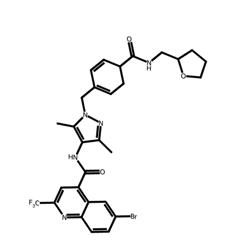 Cc1nn(CC2=CCC(C(=O)NCC3CCCO3)C=C2)c(C)c1NC(=O)c1cc(C(F)(F)F)nc2ccc(Br)cc12